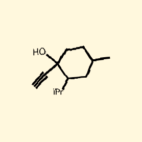 C#CC1(O)CCC(C)CC1C(C)C